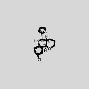 Clc1ccc2c(c1)[C@H]1OCCC[C@H]1[C@H](c1cccs1)N2